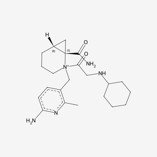 Cc1nc(N)ccc1C[N+]1(C(=O)CNC2CCCCC2)CCC[C@@H]2C[C@@]21C(N)=O